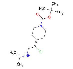 CC(C)NCC(Cl)=C1CCN(C(=O)OC(C)(C)C)CC1